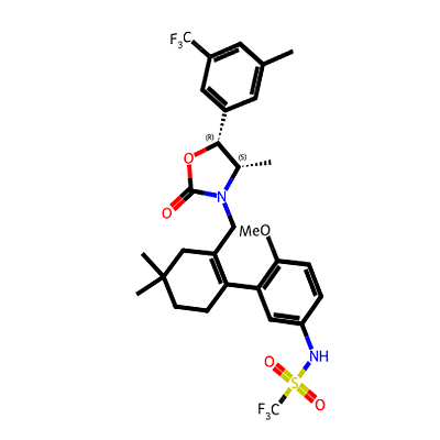 COc1ccc(NS(=O)(=O)C(F)(F)F)cc1C1=C(CN2C(=O)O[C@H](c3cc(C)cc(C(F)(F)F)c3)[C@@H]2C)CC(C)(C)CC1